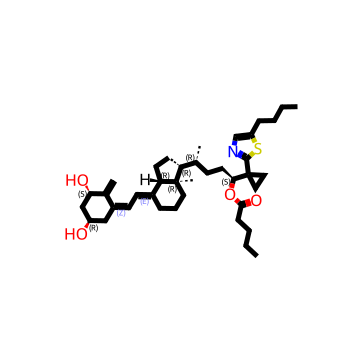 C=C1/C(=C\C=C2/CCC[C@]3(C)[C@@H]([C@H](C)CC[C@H](OC(=O)CCCC)C4(c5ncc(CCCC)s5)CC4)CC[C@@H]23)C[C@@H](O)C[C@@H]1O